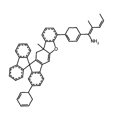 C/C=C\C(C)=C(/N)C1=CC=C(c2cccc3c2OC2=CC4=C(CC23C)C2(c3cc(C5C=CC=CC5)ccc34)c3ccccc3-c3ccccc32)CC1